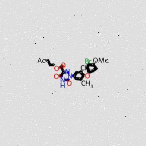 COc1ccc(Oc2c(C)cc(-n3nc(C(=O)OCCCC(C)=O)c(=O)[nH]c3=O)cc2C)cc1Br